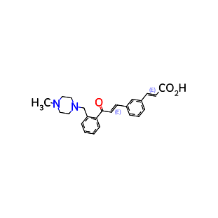 CN1CCN(Cc2ccccc2C(=O)/C=C/c2cccc(/C=C/C(=O)O)c2)CC1